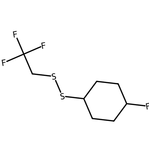 FC1CCC(SSCC(F)(F)F)CC1